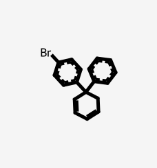 Brc1ccc(C2(c3ccccc3)C=CC=CC2)cc1